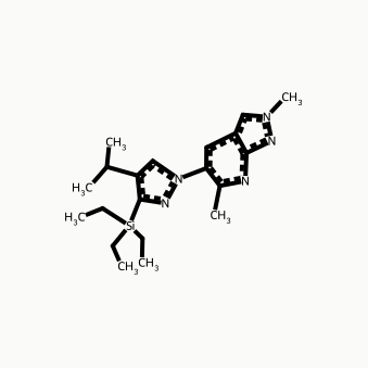 CC[Si](CC)(CC)c1nn(-c2cc3cn(C)nc3nc2C)cc1C(C)C